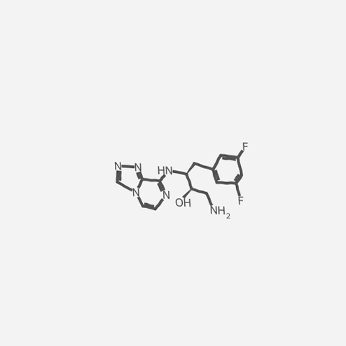 NC[C@@H](O)[C@H](Cc1cc(F)cc(F)c1)Nc1nccn2cnnc12